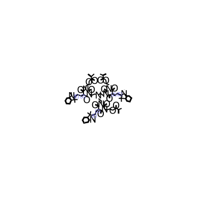 C=C(C)C(=O)OCCN1C(=O)/C(=C\C=C2\N(C)c3ccccc3C2(C)C)C(=O)N(CCN(CCN2C(=O)/C(=C/C=C3/N(C)c4ccccc4C3(C)C)C(=O)N(CCOC(=O)C(=C)C)C2=O)CCN2C(=O)/C(=C/C=C3/N(C)c4ccccc4C3(C)C)C(=O)N(CCOC(=O)C(=C)C)C2=O)C1=O